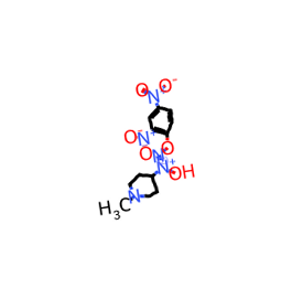 CN1CCC(/[N+](O)=N/Oc2ccc([N+](=O)[O-])cc2[N+](=O)[O-])CC1